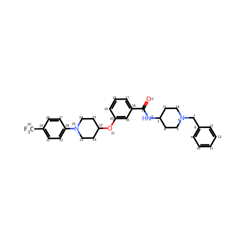 O=C(NC1CCN(Cc2ccccc2)CC1)c1cccc(OC2CCN(c3ccc(C(F)(F)F)cc3)CC2)c1